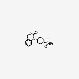 CC(C)S(=O)(=O)N1CCC(N2C(=O)OCc3ccccc32)CC1